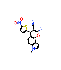 Cn1ccc2c3c(ccc21)C(c1ccc([N+](=O)[O-])s1)C(C#N)=C(N)O3